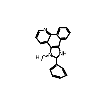 CN1c2c(c3ccccc3c3ncccc23)NC1c1ccccc1